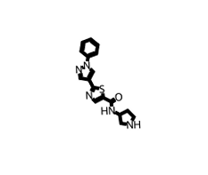 O=C(NC1CCNC1)c1cnc(-c2cnn(-c3ccccc3)c2)s1